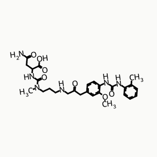 COc1cc(CC(=O)CNCCCN(C)C(=O)NC(CC(N)=O)C(=O)O)ccc1NC(=O)Nc1ccccc1C